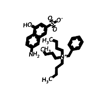 CCCC[N+](CCCC)(CCCC)Cc1ccccc1.Nc1ccc2c(O)cc(S(=O)(=O)[O-])cc2c1